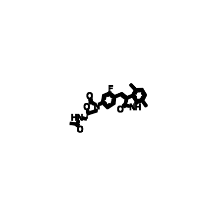 CC(=O)NC[C@H]1CN(c2ccc(/C=C3\C(=O)Nc4c(C)ccc(C)c43)c(F)c2)C(=O)O1